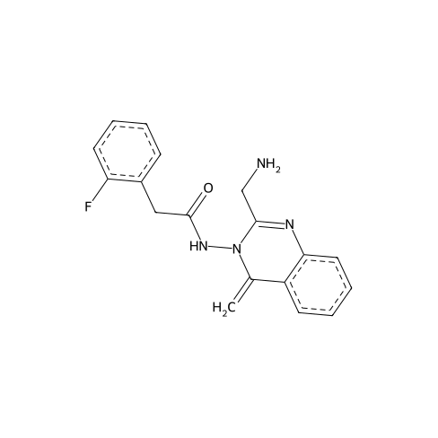 C=C1c2ccccc2N=C(CN)N1NC(=O)Cc1ccccc1F